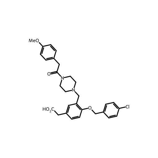 COc1ccc(CC(=O)N2CCN(Cc3cc(CC(=O)O)ccc3OCc3ccc(Cl)cc3)CC2)cc1